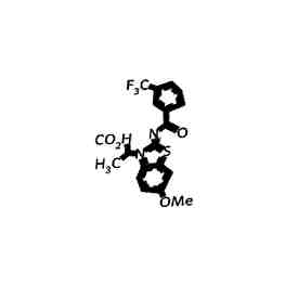 COc1ccc2c(c1)s/c(=N\C(=O)c1cccc(C(F)(F)F)c1)n2C(C)C(=O)O